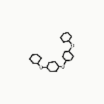 C1CCC(OC2CCC(OC3CCC(OC4CCCCC4)CC3)CC2)CC1